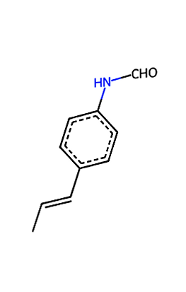 C/C=C/c1ccc(NC=O)cc1